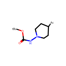 CC(=O)C1CCN(NC(=O)OC(C)(C)C)CC1